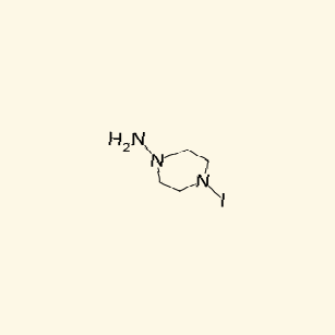 NN1CCN(I)CC1